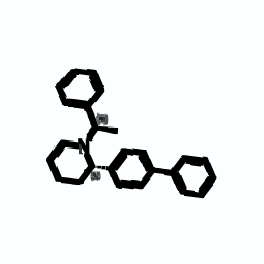 C[C@H](c1ccccc1)N1CCCC[C@H]1c1ccc(-c2ccccc2)cc1